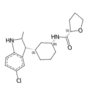 CC1Nc2ccc(Cl)cc2C1[C@H]1CCC[C@@H](NC(=O)[C@@H]2CCCO2)C1